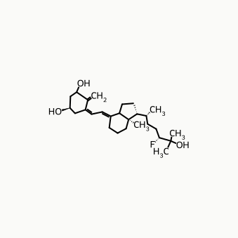 C=C1/C(=C\C=C2CCC[C@@]3(C)C2CC[C@@H]3[C@H](C)CC[C@@H](F)C(C)(C)O)C[C@@H](O)CC1O